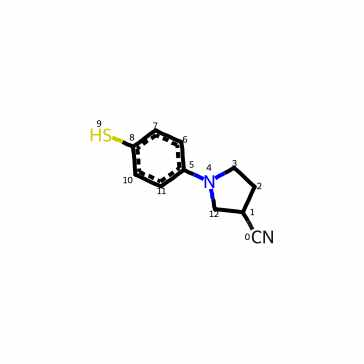 N#CC1CCN(c2ccc(S)cc2)C1